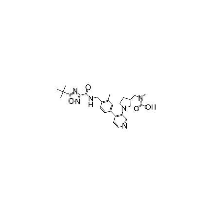 Cc1cc(-c2ccncc2N2CCC(CN(C)C(=O)O)C2)ccc1CNC(=O)c1noc(C(C)(C)C)n1